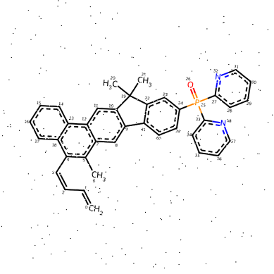 C=C/C=C\c1c(C)c2cc3c(cc2c2ccccc12)C(C)(C)c1cc(P(=O)(c2ccccn2)c2ccccn2)ccc1-3